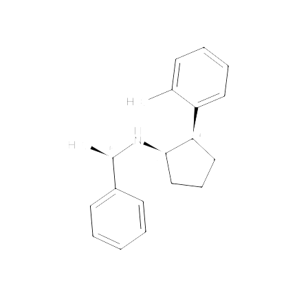 Cc1ccccc1[C@H]1CCC[C@H]1N[C@H](C)c1ccccc1